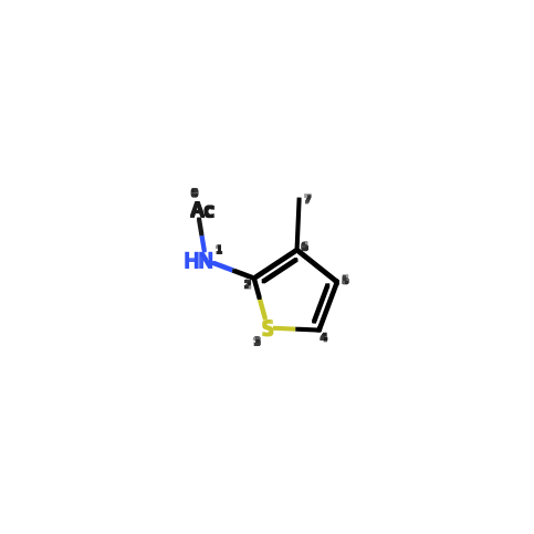 CC(=O)Nc1sccc1C